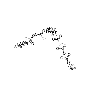 O=[Si]([O-])[O-].O=[Si]([O-])[O-].O=[Si]([O-])[O-].O=[Si]([O-])[O-].O=[Si]([O-])[O-].[Al+3].[Al+3].[Al+3].[Mg+2].[Mg+2].[Mg+2].[OH-].[OH-].[OH-].[OH-].[OH-]